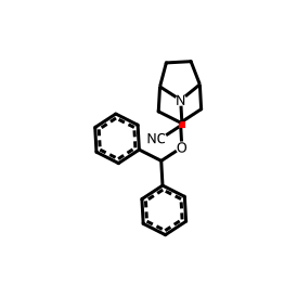 N#CCN1C2CCC1CC(OC(c1ccccc1)c1ccccc1)C2